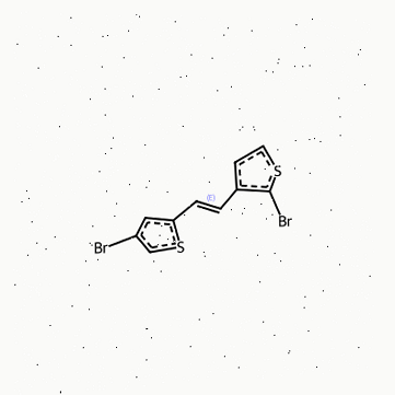 Brc1csc(/C=C/c2ccsc2Br)c1